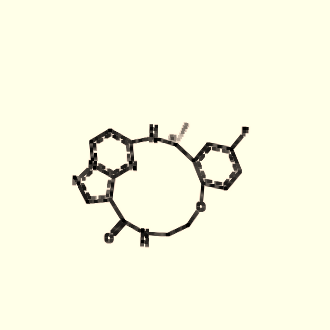 C[C@H]1Nc2ccn3ncc(c3n2)C(=O)NCCOc2ccc(F)cc21